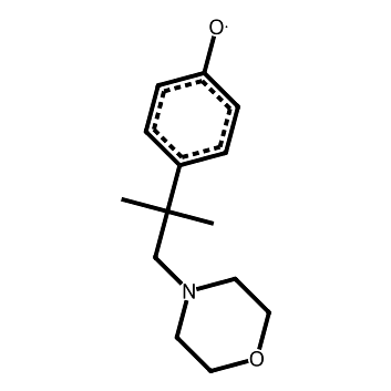 CC(C)(CN1CCOCC1)c1ccc([O])cc1